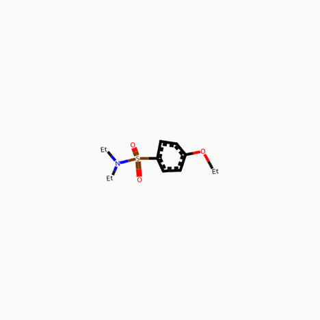 CCOc1ccc(S(=O)(=O)N(CC)CC)cc1